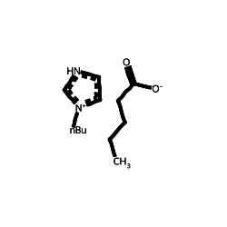 CCCCC(=O)[O-].CCCC[n+]1cc[nH]c1